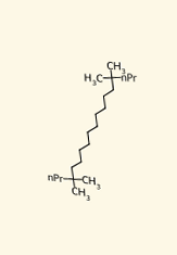 CCCC(C)(C)CCCCCCCCCCC(C)(C)CCC